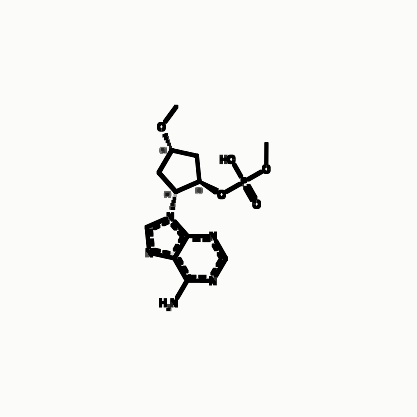 CO[C@H]1C[C@@H](n2cnc3c(N)ncnc32)[C@H](OP(=O)(O)OC)C1